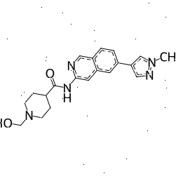 Cn1cc(-c2ccc3cnc(NC(=O)C4CCN(CO)CC4)cc3c2)cn1